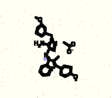 CC(=O)[O-].COc1ccc(C2=C(C)/C(=N\c3cnn(Cc4cccc(OC)c4)c3N)c3cccc[n+]32)cc1